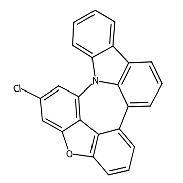 Clc1cc2oc3cccc4c5cccc6c7ccccc7n(c(c1)c2c34)c56